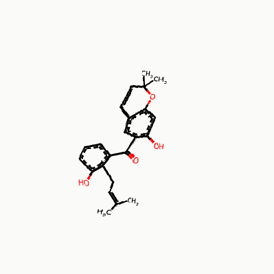 CC(C)=CCc1c(O)cccc1C(=O)c1cc2c(cc1O)OC(C)(C)C=C2